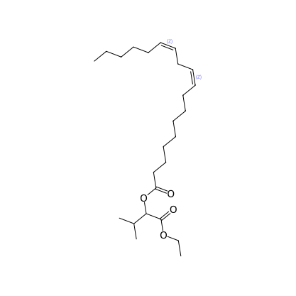 CCCCC/C=C\C/C=C\CCCCCCCC(=O)OC(C(=O)OCC)C(C)C